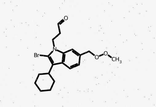 COOCc1ccc2c(C3CCCCC3)c(Br)n(CCC=O)c2c1